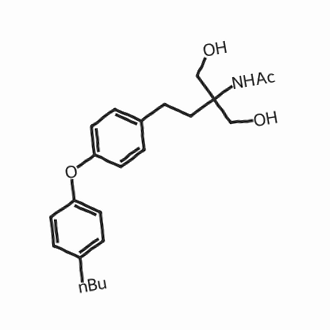 CCCCc1ccc(Oc2ccc(CCC(CO)(CO)NC(C)=O)cc2)cc1